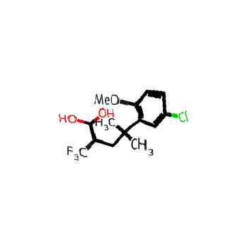 COc1ccc(Cl)cc1C(C)(C)CC(C(O)O)C(F)(F)F